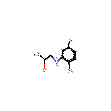 Cc1ccc([N+](=O)[O-])c(NC[C@H](C)O)c1